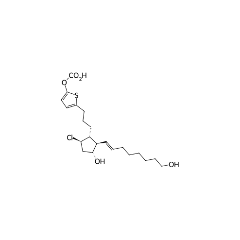 O=C(O)Oc1ccc(CCC[C@@H]2[C@@H](C=CCCCCCCO)[C@H](O)C[C@H]2Cl)s1